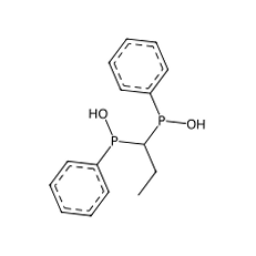 CCC(P(O)c1ccccc1)P(O)c1ccccc1